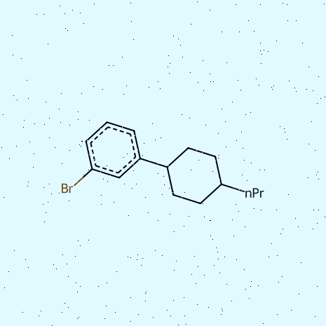 CCCC1CCC(c2cc[c]c(Br)c2)CC1